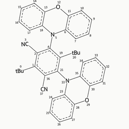 CC(C)(C)c1c(C#N)c(N2c3ccccc3Oc3ccccc32)c(C(C)(C)C)c(N2c3ccccc3Oc3ccccc32)c1C#N